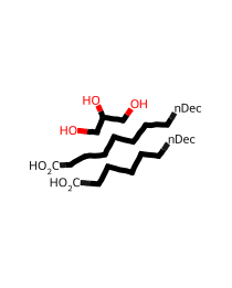 CCCCCCCCCCCCCCCC(=O)O.CCCCCCCCCCCCCCCCCC(=O)O.OCC(O)CO